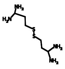 NC(N)CCSSCCC(N)N